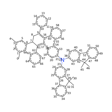 Cc1cc(C)cc(C2CC(c3ccccc3)=c3c(c4ccc(N(c5ccc6c(c5)C(C)(C)c5ccccc5-6)c5ccc6c(c5)C(C)(C)c5ccccc5-6)cc4c4ccccc34)=C2c2ccccc2)c1